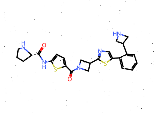 O=C(Nc1ccc(C(=O)N2CC(c3ncc(-c4ccccc4C4CNC4)s3)C2)s1)[C@@H]1CCCN1